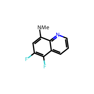 CNc1cc(F)c(F)c2cccnc12